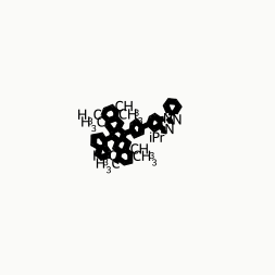 CC(C)c1nc2nc3ccccc3n2c2ccc(-c3ccc(-c4c5cc6c(cc5c(-c5cccc7ccccc57)c5cc7c(cc45)C(C)(C)CCC7(C)C)C(C)(C)CCC6(C)C)cc3)cc12